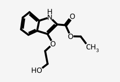 CCOC(=O)c1[nH]c2ccccc2c1OCCO